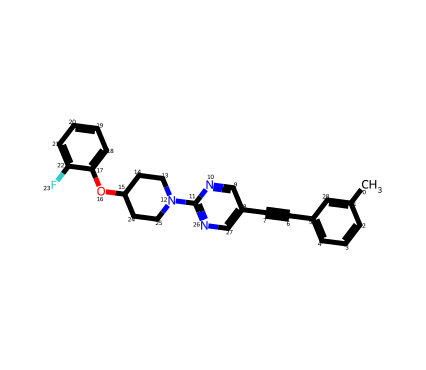 Cc1cccc(C#Cc2cnc(N3CCC(Oc4ccccc4F)CC3)nc2)c1